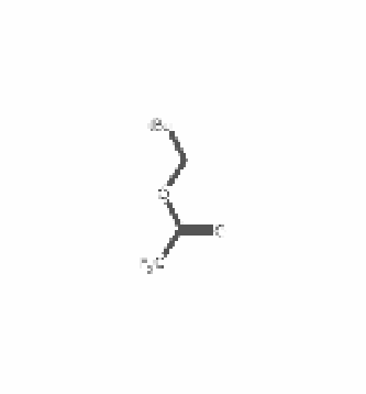 CC(C)(C)COC(=O)C(F)(F)F